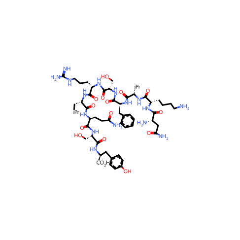 CC(C)C[C@H](NC(=O)[C@H](CCCNC(=N)N)NC(=O)[C@H](CO)NC(=O)[C@H](Cc1ccccc1)NC(=O)[C@@H](NC(=O)[C@H](CCCCN)NC(=O)[C@@H](N)CC(N)=O)C(C)C)C(=O)N[C@@H](CCC(N)=O)C(=O)N[C@@H](CO)C(=O)N[C@@H](Cc1ccc(O)cc1)C(=O)O